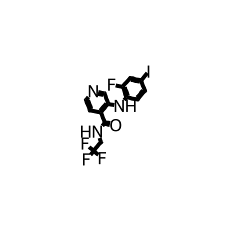 O=C(NCC(F)(F)F)c1ccncc1Nc1ccc(I)cc1F